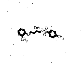 Cc1ccc(S(=O)(=O)OC[C@@H](O)CCOc2ccccc2C)cc1